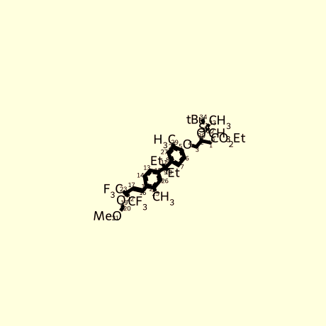 CCOC(=O)CC(COc1ccc(C(CC)(CC)c2ccc(C=CC(OCOC)(C(F)(F)F)C(F)(F)F)c(C)c2)cc1C)O[Si](C)(C)C(C)(C)C